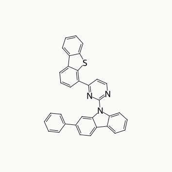 c1ccc(-c2ccc3c4ccccc4n(-c4nccc(-c5cccc6c5sc5ccccc56)n4)c3c2)cc1